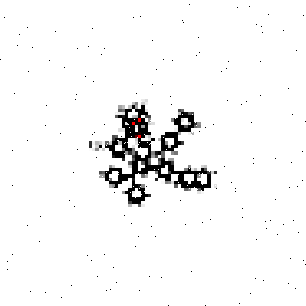 CC(C)(C)c1ccc(N2c3cc(N(c4ccccc4)c4ccccc4)cc4c3B(c3sc5cc6c(cc5c32)C(C)(C)CCC6(C)C)N(c2ccc(-c3ccccc3)cc2)c2cc3c(cc2-4)sc2cc4ccccc4cc23)c(-c2ccccc2)c1